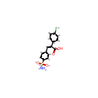 NS(=O)(=O)c1ccc(C=C(C(=O)O)c2ccc(F)cc2)cc1